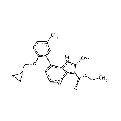 CCOC(=O)c1c(C)[nH]c2c(-c3cc(C)ccc3OCC3CC3)ccnc12